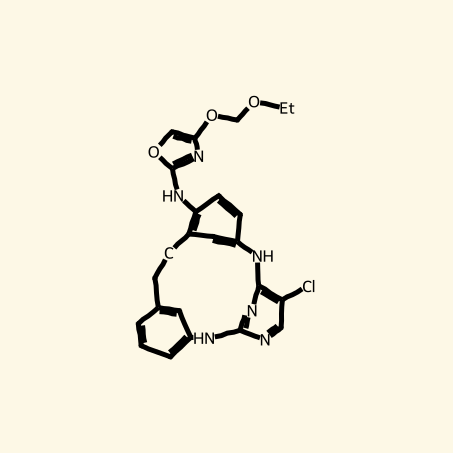 CCOCOc1coc(Nc2ccc3cc2CCc2cccc(c2)Nc2ncc(Cl)c(n2)N3)n1